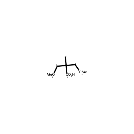 COCC(C)(COC)C(=O)O